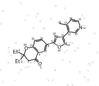 CCC1(CC)CC(=O)c2cc(-c3nc(-c4cnccc4C)no3)ccc2O1